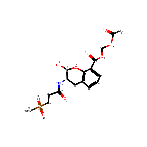 CCC(=O)OCOC(=O)c1cccc2c1OB(O)[C@@H](NC(=O)CCS(=O)(=O)NC)C2